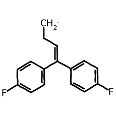 [CH2]CC=C(c1ccc(F)cc1)c1ccc(F)cc1